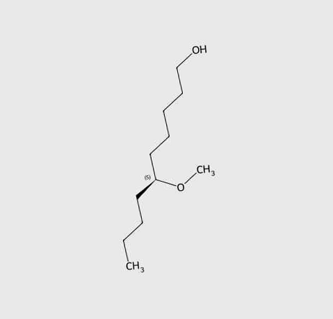 CCCC[C@@H](CCCCCO)OC